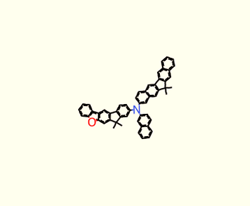 CC1(C)c2cc3ccccc3cc2-c2cc3ccc(N(c4ccc5c(c4)C(C)(C)c4cc6oc7ccccc7c6cc4-5)c4ccc5ccccc5c4)cc3cc21